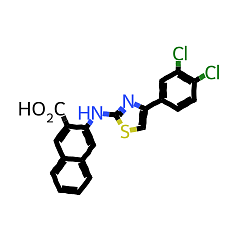 O=C(O)c1cc2ccccc2cc1Nc1nc(-c2ccc(Cl)c(Cl)c2)cs1